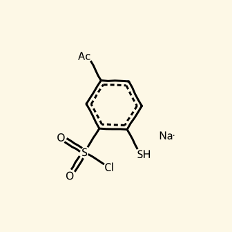 CC(=O)c1ccc(S)c(S(=O)(=O)Cl)c1.[Na]